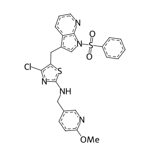 COc1ccc(CNc2nc(Cl)c(Cc3cn(S(=O)(=O)c4ccccc4)c4ncccc34)s2)cn1